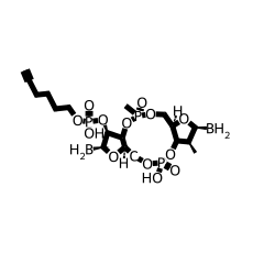 B[C@@H]1O[C@@H]2COP(C)(=O)OC3[C@@H](COP(=O)(O)OC2[C@@H]1C)O[C@@H](B)[C@H]3OP(=O)(O)OCCCCC#C